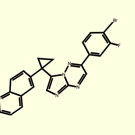 Fc1cc(-c2cnc3ncc(C4(c5ccc6ncccc6c5)CC4)n3n2)ccc1Br